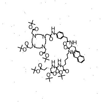 CC(C)(C)OC(=O)CC[C@H](NC(=O)N[C@@H](CCCCNC(=O)[C@H](Cc1ccc2ccccc2c1)NC(=O)Cc1ccc(NC(=O)CN2CCN(CC(=O)OC(C)(C)C)CCN(CC(=O)OC(C)(C)C)CCN(CC(=O)OC(C)(C)C)CC2)cc1)C(=O)OC(C)(C)C)C(=O)OC(C)(C)C